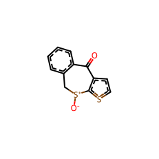 O=C1c2ccccc2C[S+]([O-])c2sccc21